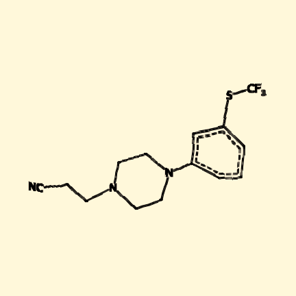 N#CCCN1CCN(c2cccc(SC(F)(F)F)c2)CC1